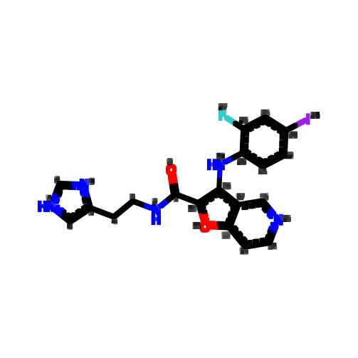 O=C(NCCc1c[nH]cn1)c1oc2ccncc2c1Nc1ccc(I)cc1F